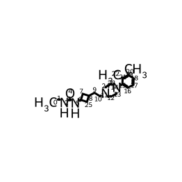 CCNC(=O)NC1CC(CCN2CCN(c3cccc(C)c3C)CC2)C1